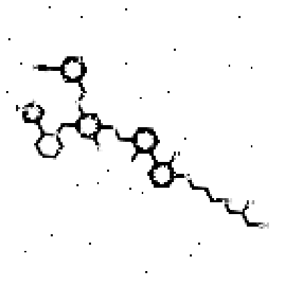 Cc1c(COc2cc(OCc3cncc(C#N)c3)c(CN3CCCCC3c3cn[nH]c3)cc2Cl)cccc1-c1cccc(OCCCNCC(O)CO)c1Cl